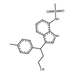 Cc1ccc(C(CCC#N)c2c[nH]c3c(NS(C)(=O)=O)cccc23)cc1